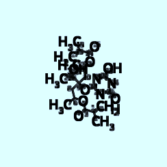 C=C(C)C(=O)OC(C)CC(CC(C)OC(=O)C(=C)C)(Oc1nc(O)nc(O)n1)C(C)O